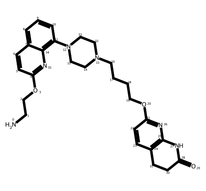 NCCOc1ccc2cccc(N3CCN(CCCCOc4ccc5c(n4)NC(=O)CC5)CC3)c2n1